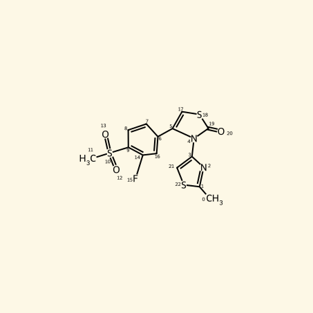 Cc1nc(-n2c(-c3ccc(S(C)(=O)=O)c(F)c3)csc2=O)cs1